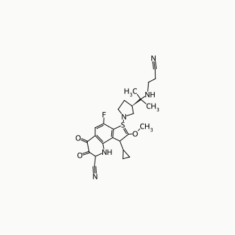 COC1=S(N2CC[C@@H](C(C)(C)NCCC#N)C2)c2c(F)cc3c(c2C1C1CC1)NC(C#N)C(=O)C3=O